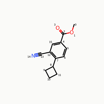 COC(=O)c1ccc(C2CCC2)c(C#N)c1